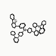 c1ccc(-c2ccccc2-c2ccc(N(c3ccc(-c4ccccc4-c4ccccc4-n4c5ccccc5c5ccccc54)cc3)c3cccc(-c4cccc5c4oc4ccccc45)c3)cc2)cc1